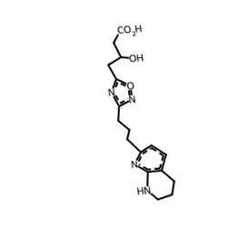 O=C(O)CC(O)Cc1nc(CCCc2ccc3c(n2)NCCC3)no1